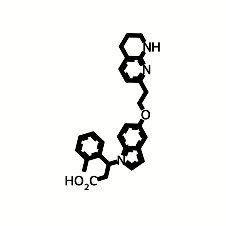 Cc1ccccc1C(CC(=O)O)n1ccc2cc(OCCc3ccc4c(n3)NCCC4)ccc21